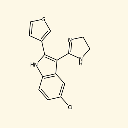 Clc1ccc2[nH]c(-c3ccsc3)c(C3=NCCN3)c2c1